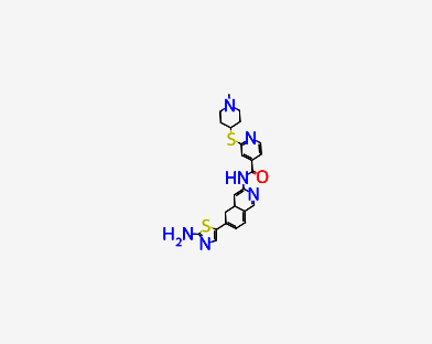 CN1CCC(Sc2cc(C(=O)NC3=CC4CC(c5cnc(N)s5)=CC=C4C=N3)ccn2)CC1